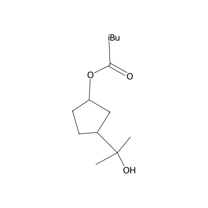 CCC(C)C(=O)OC1CCC(C(C)(C)O)C1